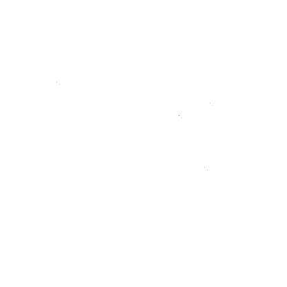 CCOCc1cc2c(N)nc3cc(CCCCCNC(C)(C)C)ccc3c2[nH]1